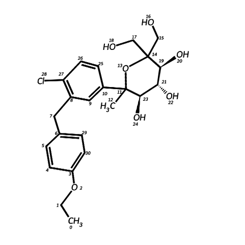 CCOc1ccc(Cc2cc(C3(C)OC(CO)(CO)[C@@H](O)[C@H](O)[C@H]3O)ccc2Cl)cc1